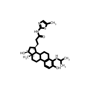 Cc1cnc(NC(=O)CC[C@@H]2C[C@H](O)[C@@]3(C)CCC4c5ccc(O)c(NC(C)C)c5CCC4C23)s1